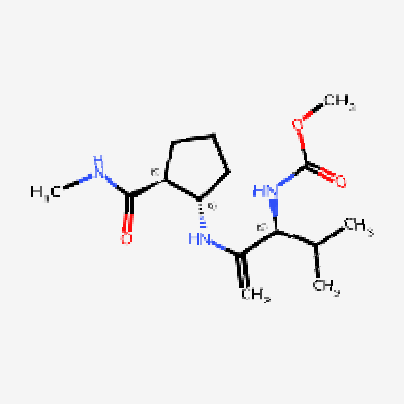 C=C(N[C@H]1CCC[C@@H]1C(=O)NC)[C@@H](NC(=O)OC)C(C)C